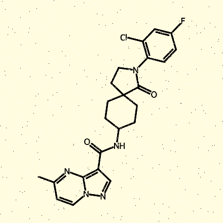 Cc1ccn2ncc(C(=O)NC3CCC4(CC3)CCN(c3ccc(F)cc3Cl)C4=O)c2n1